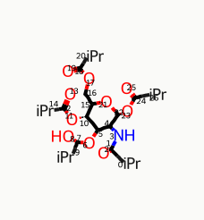 CC(C)C(=O)NC1C(OC(O)C(C)C)[C@H](OC(=O)C(C)C)C(COC(=O)C(C)C)O[C@@H]1OC(=O)C(C)C